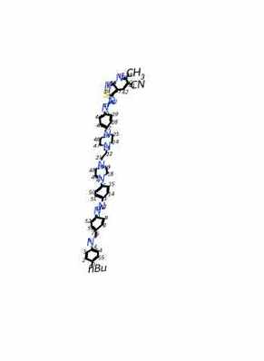 CCCCc1ccc(/N=C/c2ccc(N=Nc3ccc(N4CCN(CCN5CCN(c6ccc(N=Nc7snc8nc(C)c(C#N)cc78)cc6)CC5)CC4)cc3)cc2)cc1